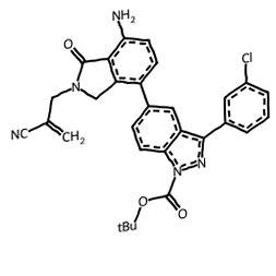 C=C(C#N)CN1Cc2c(-c3ccc4c(c3)c(-c3cccc(Cl)c3)nn4C(=O)OC(C)(C)C)ccc(N)c2C1=O